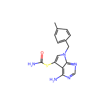 Cc1ccc(Cn2cc(SC(N)=O)c3c(N)ncnc32)cc1